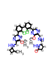 COc1nc(-c2cccc(-c3cccc(-c4cnc(CN[C@@H]5CCC5C)c(OC)n4)c3Cl)c2Cl)cnc1CNC[C@@H]1CCC(=O)N1